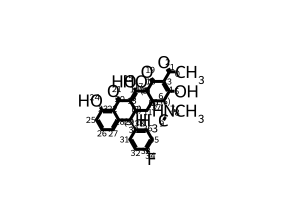 CC(=O)C1=C(O)[C@@H](N(C)C)[C@@H]2C[C@H]3C(=C(O)[C@]2(O)C1=O)C(=O)c1c(O)cccc1[C@@H]3c1ccc(F)cc1